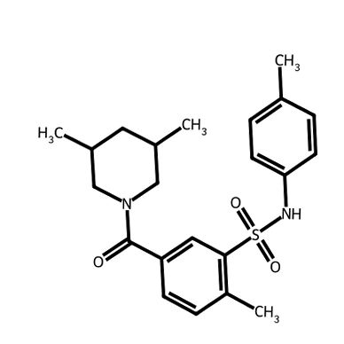 Cc1ccc(NS(=O)(=O)c2cc(C(=O)N3CC(C)CC(C)C3)ccc2C)cc1